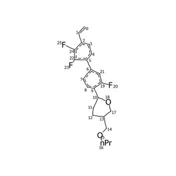 C=Cc1ccc(-c2ccc(C3CCC(COCCC)CO3)c(F)c2)c(F)c1F